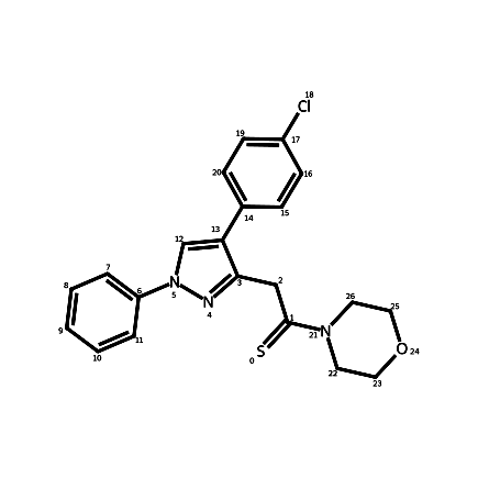 S=C(Cc1nn(-c2ccccc2)cc1-c1ccc(Cl)cc1)N1CCOCC1